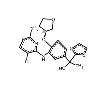 CC(O)(c1ccc(O[C@H]2CCOC2)c(Nc2nc(N)ncc2Cl)c1)c1nccs1